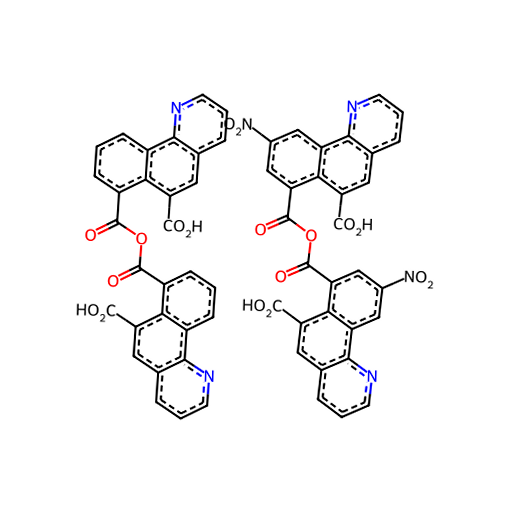 O=C(O)c1cc2cccnc2c2cc([N+](=O)[O-])cc(C(=O)OC(=O)c3cc([N+](=O)[O-])cc4c3c(C(=O)O)cc3cccnc34)c12.O=C(O)c1cc2cccnc2c2cccc(C(=O)OC(=O)c3cccc4c3c(C(=O)O)cc3cccnc34)c12